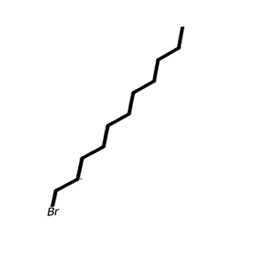 CCCCCCCCC[CH]CBr